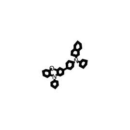 c1ccc(N(c2ccc(-c3ccc4c(c3)Oc3ccccc3N4c3ccccc3)cc2)c2ccc3ccccc3c2)cc1